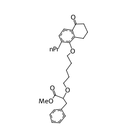 CCCc1ccc2c(c1OCCCCCOC(Cc1ccccc1)C(=O)OC)CCCC2=O